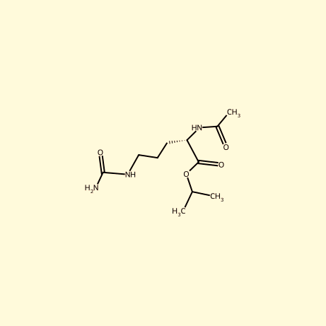 CC(=O)N[C@@H](CCCNC(N)=O)C(=O)OC(C)C